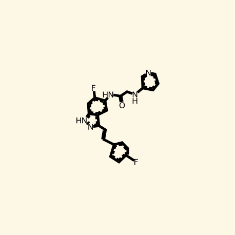 O=C(CNc1cccnc1)Nc1cc2c(/C=C/c3ccc(F)cc3)n[nH]c2cc1F